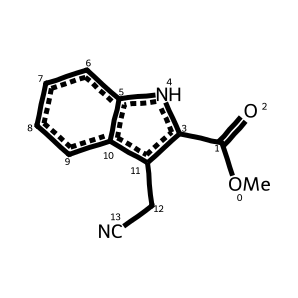 COC(=O)c1[nH]c2ccccc2c1CC#N